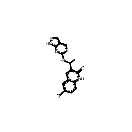 CC(Nc1ncc2cn[nH]c2n1)c1cc2cc(Cl)ccc2[nH]c1=O